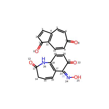 O=C1C=Cc2ccc(=O)ccc21.O=C1CC=CC2=C(C=CC(=O)/C2=N\O)N1